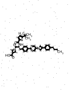 CCCCc1ccc(C2CN(c3cnc(-c4ccc(C[C@H](NC(=O)c5ccc(C(C)(C)C)s5)C(=O)N5CC(C(=O)O)C5)cc4)nc3)C2)cc1